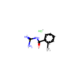 Cl.N=C(N)NC(=O)c1ccccc1C(F)(F)F